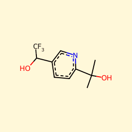 CC(C)(O)c1ccc(C(O)C(F)(F)F)cn1